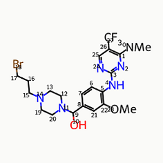 CNc1nc(Nc2ccc(C(O)N3CCN(CCCBr)CC3)cc2OC)ncc1C(F)(F)F